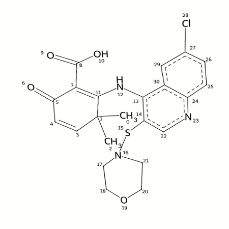 CC1(C)C=CC(=O)C(C(=O)O)=C1Nc1c(SN2CCOCC2)cnc2ccc(Cl)cc12